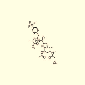 COC(=O)C(C)CC(Cc1ncc(C(F)(F)F)cn1)NC(=O)c1csc(C(CC(C(C)C)N(C)C(=O)CC2CC2)OC(C)=O)n1